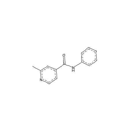 Cc1cc(C(=O)Nc2ccccc2)ccn1